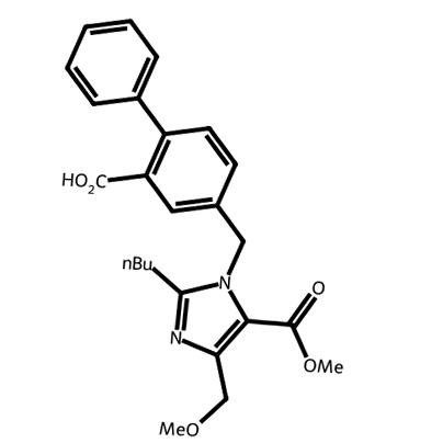 CCCCc1nc(COC)c(C(=O)OC)n1Cc1ccc(-c2ccccc2)c(C(=O)O)c1